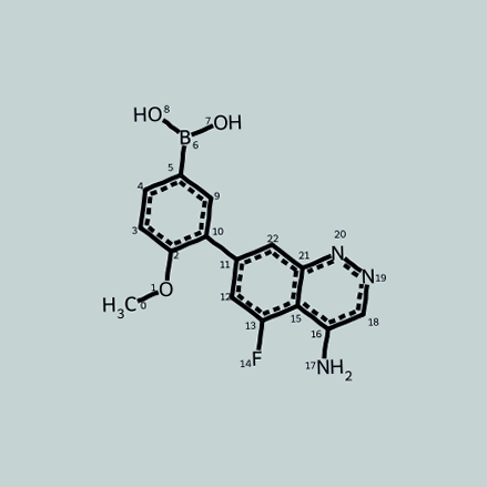 COc1ccc(B(O)O)cc1-c1cc(F)c2c(N)cnnc2c1